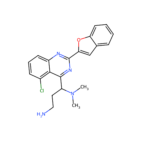 CN(C)C(CCN)c1nc(-c2cc3ccccc3o2)nc2cccc(Cl)c12